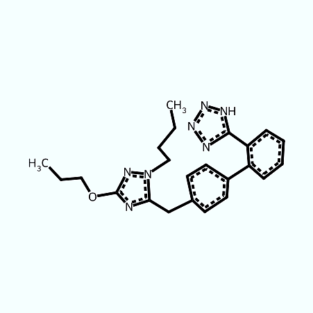 CCCCn1nc(OCCC)nc1Cc1ccc(-c2ccccc2-c2nnn[nH]2)cc1